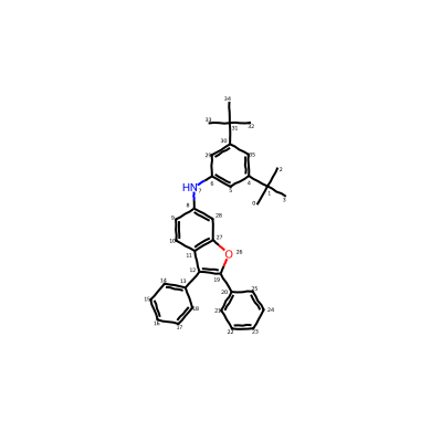 CC(C)(C)c1cc(Nc2ccc3c(-c4ccccc4)c(-c4ccccc4)oc3c2)cc(C(C)(C)C)c1